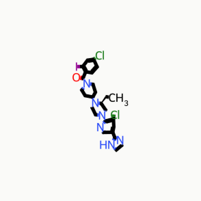 CC[C@H]1CN(c2ncc(C3=NCCN3)cc2Cl)CCN1C1CCN(C(=O)c2ccc(Cl)cc2I)CC1